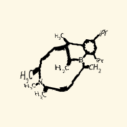 C=C1/C=C\C=C/C(=C)N(C)C(=C)/C=C\C=C2/C(=C)B1c1c(C(C)C)cc(C(C)C)cc1C2C